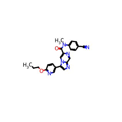 CCCOc1ccc(-c2cnc3cnc(C(=O)N(C)c4ccc(C#N)cc4)cn23)cn1